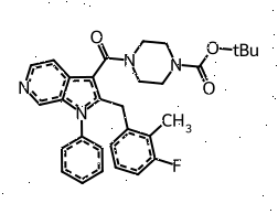 Cc1c(F)cccc1Cc1c(C(=O)N2CCN(C(=O)OC(C)(C)C)CC2)c2ccncc2n1-c1ccccc1